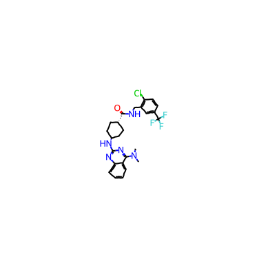 CN(C)c1nc(N[C@H]2CC[C@@H](C(=O)NCc3cc(C(F)(F)F)ccc3Cl)CC2)nc2ccccc12